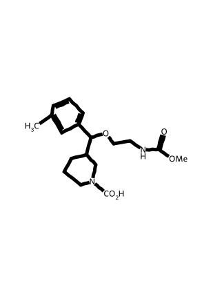 COC(=O)NCCOC(c1cccc(C)c1)C1CCCN(C(=O)O)C1